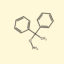 CC(O[PH4])(c1ccccc1)c1ccccc1